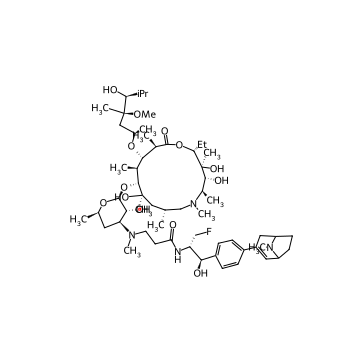 CC[C@H]1OC(=O)[C@H](C)[C@@H](O[C@H](C)C[C@@](C)(OC)[C@@H](O)C(C)C)[C@H](C)[C@@H](O[C@@H]2O[C@H](C)C[C@H](N(C)CCC(=O)N[C@H](CF)[C@H](O)c3ccc(C4=CC5CCC(C4)N5C)cc3)[C@H]2O)[C@](C)(O)C[C@@H](C)CN(C)[C@H](C)[C@@H](O)[C@]1(C)O